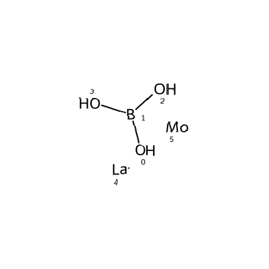 OB(O)O.[La].[Mo]